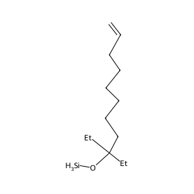 C=CCCCCCCC(CC)(CC)O[SiH3]